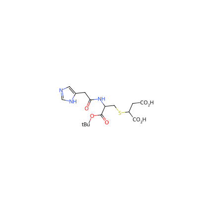 CC(C)(C)OC(=O)C(CSC(CC(=O)O)C(=O)O)NC(=O)Cc1cnc[nH]1